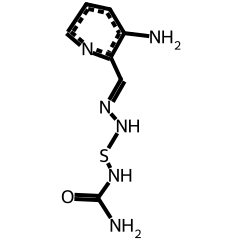 NC(=O)NSNN=Cc1ncccc1N